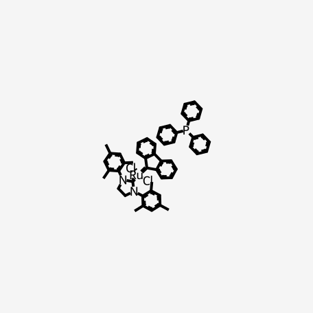 Cc1cc(C)c(N2CCN(c3c(C)cc(C)cc3C)[C]2=[Ru]([Cl])([Cl])=[C]2c3ccccc3-c3ccccc32)c(C)c1.c1ccc(P(c2ccccc2)c2ccccc2)cc1